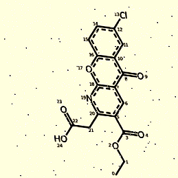 CCOC(=O)c1cc2c(=O)c3cc(Cl)ccc3oc2nc1CC(=O)O